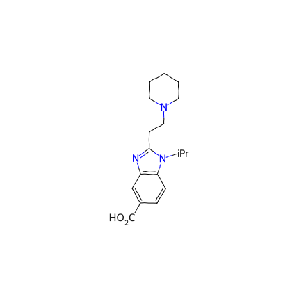 CC(C)n1c(CCN2CCCCC2)nc2cc(C(=O)O)ccc21